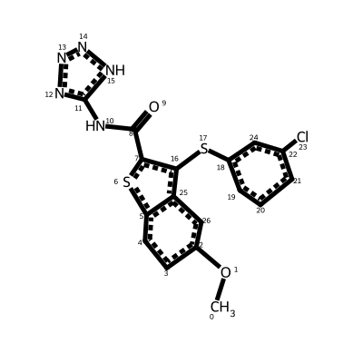 COc1ccc2sc(C(=O)Nc3nnn[nH]3)c(Sc3cccc(Cl)c3)c2c1